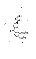 COc1ccc(C(=O)C2CCN(C(=O)OC(C)(C)C)CC2)cc1OC